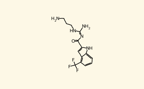 NCCCNC(N)=NC(=O)c1cc2c(C(F)(F)F)cccc2[nH]1